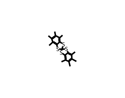 Cc1c(C)c(C)c2c(c1C)SC1(S2)Sc2c(C)c(C)c(C)c(C)c2S1